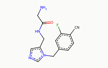 N#Cc1ccc(Cn2cncc2CNC(=O)CN)cc1F